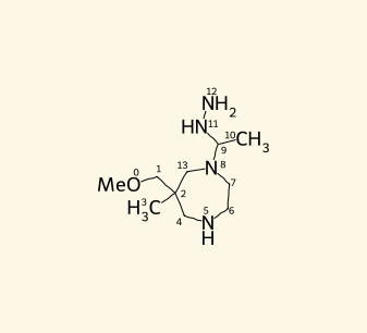 COCC1(C)CNCCN(C(C)NN)C1